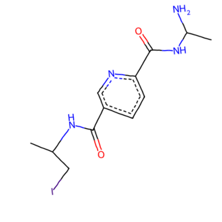 CC(N)NC(=O)c1ccc(C(=O)NC(C)CI)cn1